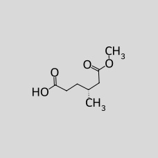 COC(=O)C[C@H](C)CCC(=O)O